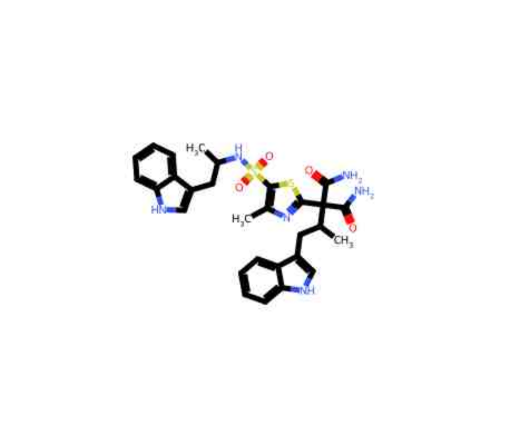 Cc1nc(C(C(N)=O)(C(N)=O)C(C)Cc2c[nH]c3ccccc23)sc1S(=O)(=O)NC(C)Cc1c[nH]c2ccccc12